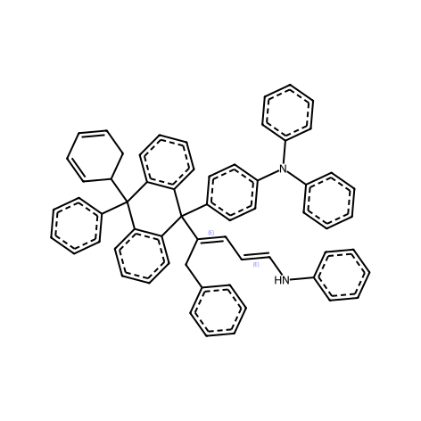 C1=CCC(C2(c3ccccc3)c3ccccc3C(/C(=C/C=C/Nc3ccccc3)Cc3ccccc3)(c3ccc(N(c4ccccc4)c4ccccc4)cc3)c3ccccc32)C=C1